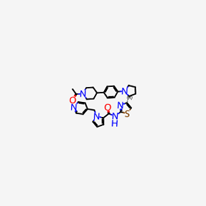 CC(=O)N1CCC(c2ccc(N3CCC[C@@H]3c3csc(NC(=O)c4cccn4Cc4ccncc4)n3)cc2)CC1